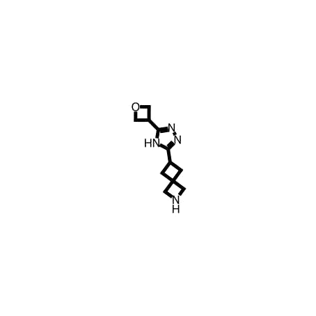 C1OCC1c1nnc(C2CC3(CNC3)C2)[nH]1